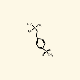 C[Si](C)(C)CCc1ccc(S(C)(=O)=O)cc1